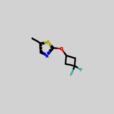 Cc1cnc(OC2CC(F)(F)C2)s1